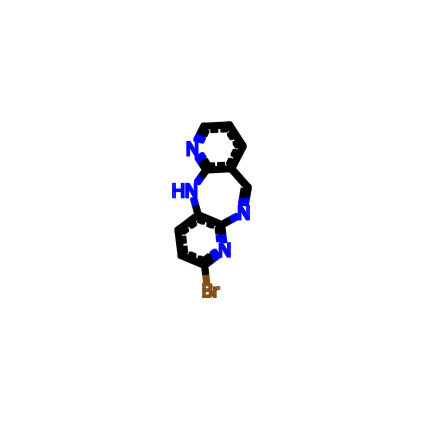 Brc1ccc2c(n1)N=Cc1cccnc1N2